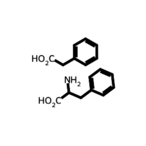 NC(Cc1ccccc1)C(=O)O.O=C(O)Cc1ccccc1